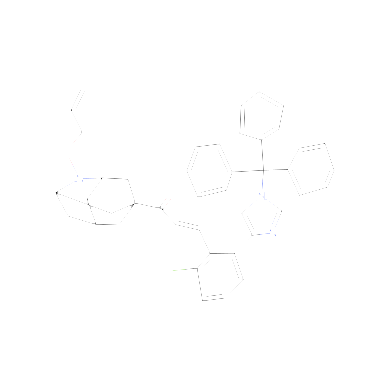 C=CCON1C2CC3CC1CC(C(=O)/C=C/c1c(F)cccc1-c1cn(C(c4ccccc4)(c4ccccc4)c4ccccc4)cn1)(C3)C2